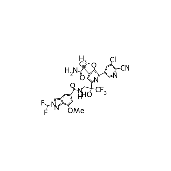 COc1cc(C(=O)NCC(O)(c2cc3c(c(-c4cnc(C#N)c(Cl)c4)n2)OC[C@]3(C)C(N)=O)C(F)(F)F)cc2cn(C(F)F)nc12